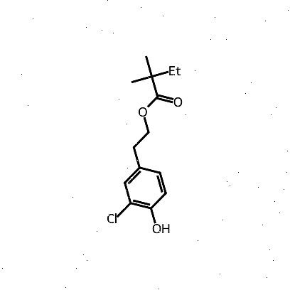 CCC(C)(C)C(=O)OCCc1ccc(O)c(Cl)c1